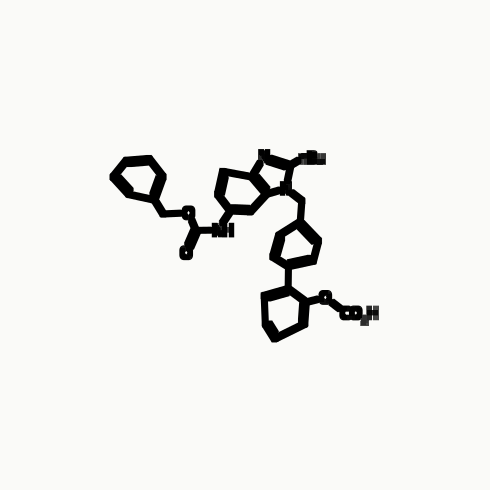 CCCCc1nc2ccc(NC(=O)OCc3ccccc3)cc2n1Cc1ccc(-c2ccccc2OC(=O)O)cc1